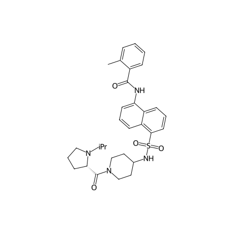 Cc1ccccc1C(=O)Nc1cccc2c(S(=O)(=O)NC3CCN(C(=O)[C@@H]4CCCN4C(C)C)CC3)cccc12